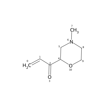 C=CC(=O)C1CN(C)CCO1